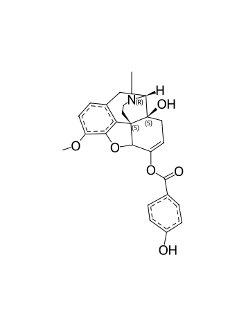 COc1ccc2c3c1OC1C(OC(=O)c4ccc(O)cc4)=CC[C@@]4(O)[C@@H](C2)N(C)CC[C@]314